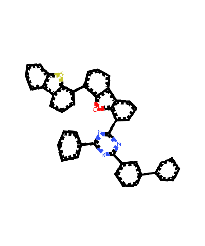 c1ccc(-c2cccc(-c3nc(-c4ccccc4)nc(-c4cccc5c4oc4c(-c6cccc7c6sc6ccccc67)cccc45)n3)c2)cc1